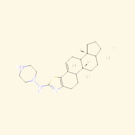 CC(=O)O[C@H]1CC[C@H]2[C@@H]3CC=C4c5sc(NN6CCNCC6)nc5CC[C@]4(C)[C@H]3CC[C@]12C